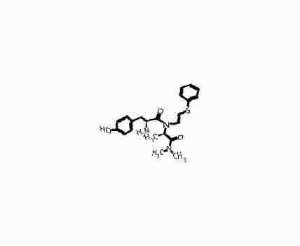 C[C@H](C(=O)N(C)C)N(CCSc1ccccc1)C(=O)[C@@H](N)Cc1ccc(O)cc1